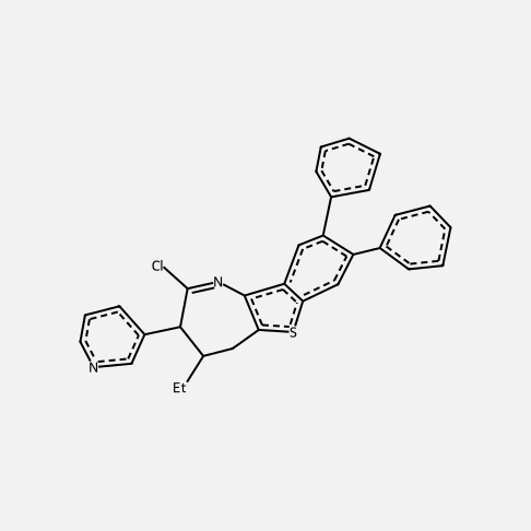 CCC1Cc2sc3cc(-c4ccccc4)c(-c4ccccc4)cc3c2N=C(Cl)C1c1cccnc1